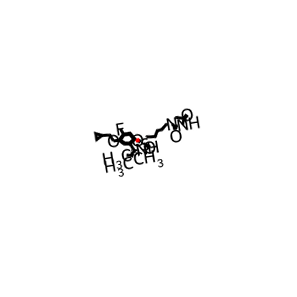 CC(C)(C)[C@H](NS(=O)(=O)CCCCCN1CC(=O)NC1=O)c1ccc(F)c(OCC2CC2)c1